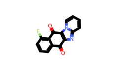 O=C1c2cccc(F)c2C(=O)c2c1nc1ccccn21